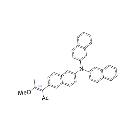 CO/C(C)=C(\C(C)=O)c1ccc2cc(N(c3ccc4ccccc4c3)c3ccc4ccccc4c3)ccc2c1